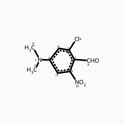 CN(C)c1cc(Cl)c(C=O)c([N+](=O)[O-])c1